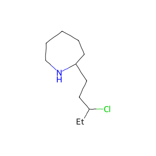 CCC(Cl)CCC1CCCCCN1